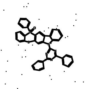 O=P1(c2ccccc2)c2ccccc2Sc2cc3c(cc21)c1ccccc1n3-c1nc(-c2ccccc2)nc(-c2ccccc2)n1